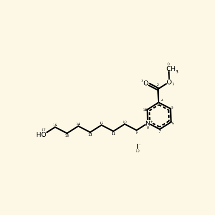 COC(=O)c1ccc[n+](CCCCCCCCO)c1.[I-]